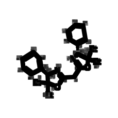 CCC1(CC)OC(CC2=N[C@H](c3ccccc3)C(CC)(CC)O2)=N[C@@H]1c1ccccc1